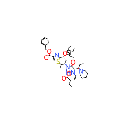 C=C(N[C@H](C(=O)N(COC(=O)CCC)[C@H](C[C@@H](O[Si](CC)(CC)CC)c1nc(C(=O)OCc2ccccc2)cs1)C(C)C)[C@@H](C)CC)[C@H]1CCCCN1C